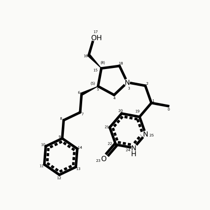 CC(CN1C[C@@H](CCCc2ccccc2)[C@@H](CO)C1)c1ccc(=O)[nH]n1